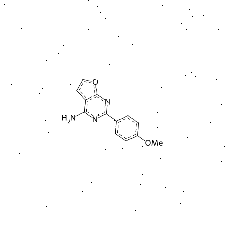 COc1ccc(-c2nc(N)c3ccoc3n2)cc1